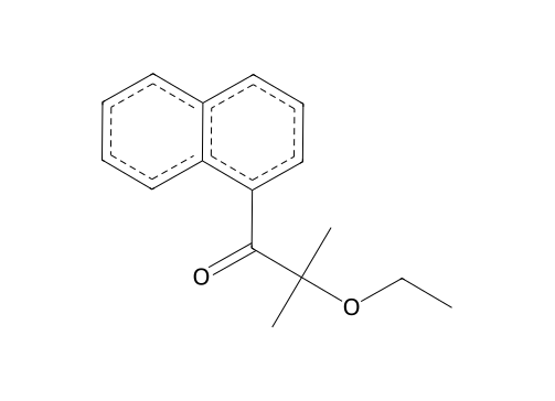 CCOC(C)(C)C(=O)c1cccc2ccccc12